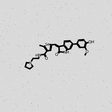 COc1cc(-c2ccc3c(c2)NC(=O)C3=Cc2cc(C(=O)NCCN3CCCC3)c(C)[se]2)ccc1O